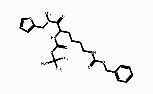 CN(Cc1cccs1)C(=O)C(CCCCNC(=O)OCc1ccccc1)NC(=O)OC(C)(C)C